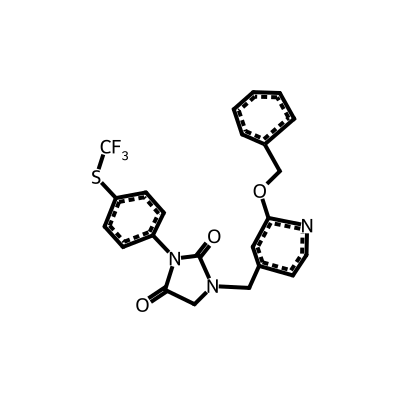 O=C1CN(Cc2ccnc(OCc3ccccc3)c2)C(=O)N1c1ccc(SC(F)(F)F)cc1